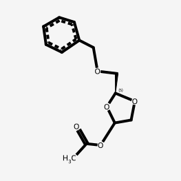 CC(=O)OC1CO[C@H](COCc2ccccc2)O1